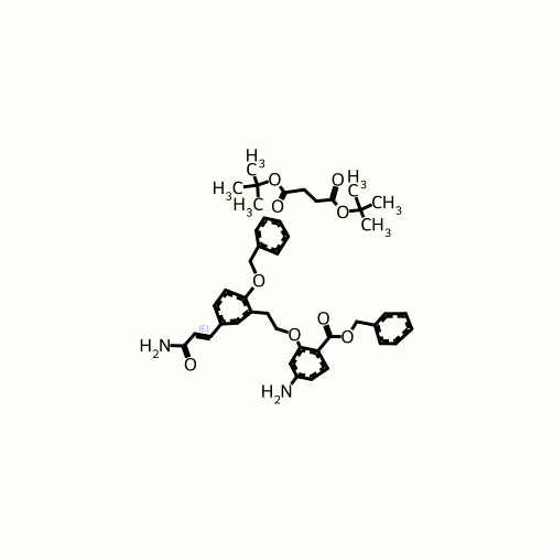 CC(C)(C)OC(=O)CCC(=O)OC(C)(C)C.NC(=O)/C=C/c1ccc(OCc2ccccc2)c(CCOc2cc(N)ccc2C(=O)OCc2ccccc2)c1